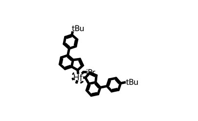 [CH2]=[Hf]([CH3])([CH3])([CH3])([CH2]C(C)C)([CH]1C=Cc2c(-c3ccc(C(C)(C)C)cc3)cccc21)[CH]1C=Cc2c(-c3ccc(C(C)(C)C)cc3)cccc21